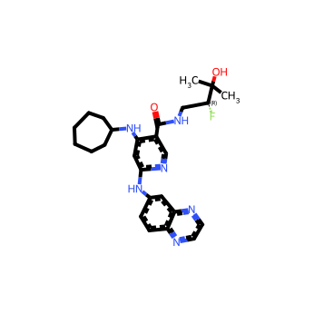 CC(C)(O)[C@H](F)CNC(=O)c1cnc(Nc2ccc3nccnc3c2)cc1NC1CCCCCC1